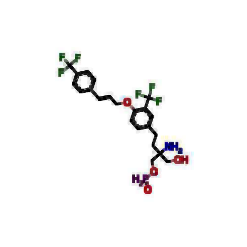 NC(CO)(CCc1ccc(OCC=Cc2ccc(C(F)(F)F)cc2)c(C(F)(F)F)c1)CO[PH2]=O